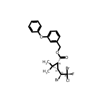 CC1(C)[C@@H]([C@H](Br)[C@@](F)(Cl)Br)[C@H]1C(=O)OCc1cccc(Oc2ccccc2)c1